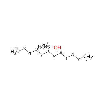 O=S(=O)(O)O.[CH2]CCCCCCCCCCC.[Fe]